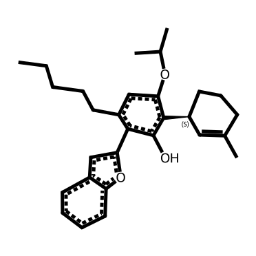 CCCCCc1cc(OC(C)C)c([C@@H]2C=C(C)CCC2)c(O)c1-c1cc2ccccc2o1